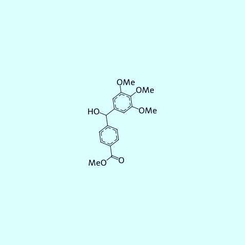 COC(=O)c1ccc(C(O)c2cc(OC)c(OC)c(OC)c2)cc1